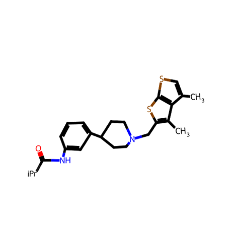 Cc1csc2sc(CN3CCC(c4cccc(NC(=O)C(C)C)c4)CC3)c(C)c12